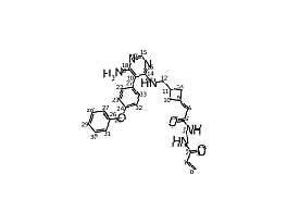 C=CC(=O)NNC(=O)C=C1CC(CNc2ncnc(N)c2-c2ccc(Oc3ccccc3)cc2)C1